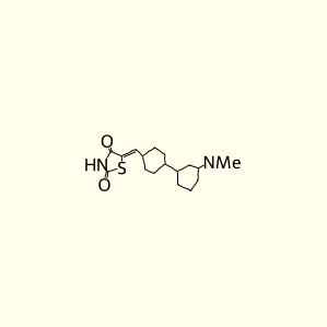 CNC1CCCC(C2CCC(/C=C3\SC(=O)NC3=O)CC2)C1